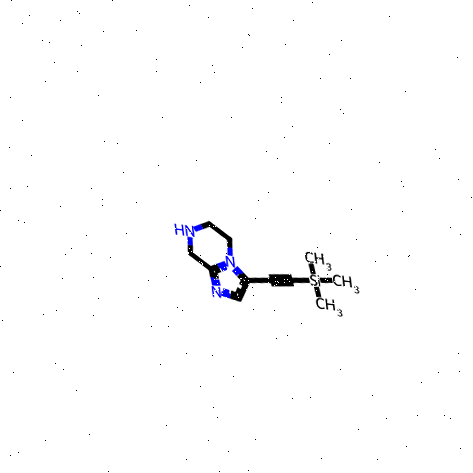 C[Si](C)(C)C#Cc1cnc2n1CCNC2